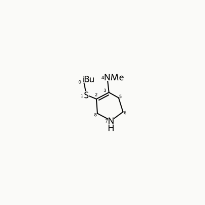 CCC(C)SC1=C(NC)CCNC1